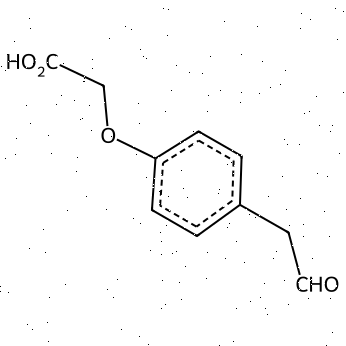 O=CCc1ccc(OCC(=O)O)cc1